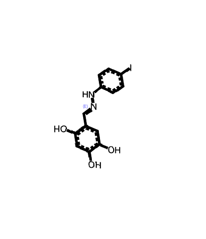 Oc1cc(O)c(/C=N/Nc2ccc(I)cc2)cc1O